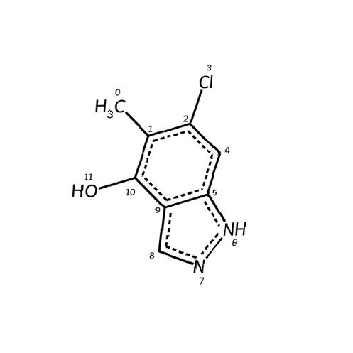 Cc1c(Cl)cc2[nH]ncc2c1O